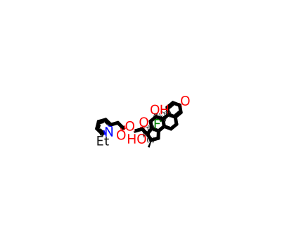 CCc1cccc(CC(=O)OCC(=O)[C@@]2(O)[C@H](C)CC3C4CCC5=CC(=O)C=C[C@]5(C)[C@@]4(F)[C@@H](O)C[C@@]32C)n1